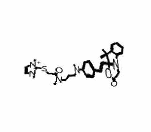 CN(CCCN(C)c1ccc(/C=C/C23OC(=O)CN2c2ccccc2C3(C)C)cc1)C(=O)CSc1n(C)cc[n+]1C